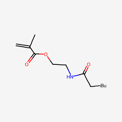 C=C(C)C(=O)OCCNC(=O)CC(C)CC